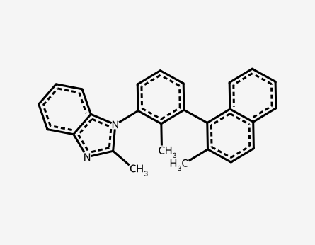 Cc1ccc2ccccc2c1-c1cccc(-n2c(C)nc3ccccc32)c1C